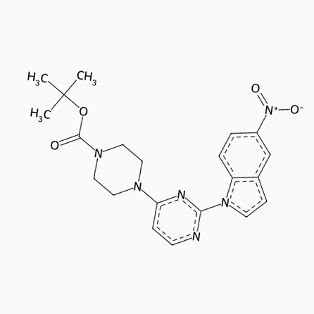 CC(C)(C)OC(=O)N1CCN(c2ccnc(-n3ccc4cc([N+](=O)[O-])ccc43)n2)CC1